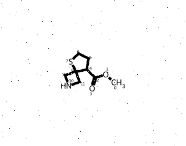 COC(=O)C1CCSC12CNC2